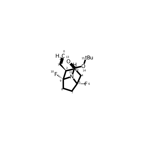 C=C[C@H]1NC[C@@]2(F)CC[C@]1(F)N2C(=O)OC(C)(C)C